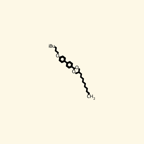 C=CCCCCCCCCC1COC(c2ccc(-c3ccc(OCCCC(C)CC)cc3)cc2)OC1